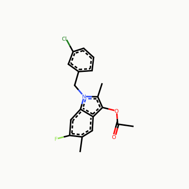 CC(=O)Oc1c(C)n(Cc2cccc(Cl)c2)c2cc(F)c(C)cc12